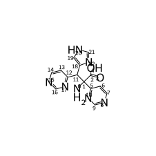 NC(C(=O)O)(c1ccncn1)C(c1ccncn1)c1c[nH]cn1